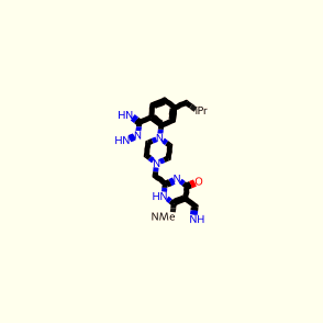 CNc1[nH]c(CN2CCN(c3cc(CC(C)C)ccc3C(=N)N=N)CC2)nc(=O)c1C=N